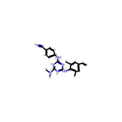 C=Cc1cc(C)c(Nc2nc(Nc3ccc(C#N)cc3)nc(N(C)C)n2)c(C)c1